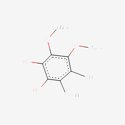 CCCCCCCCCOc1c(C)c(C(=O)O)c(O)c(O)c1OCCCCCCCCC